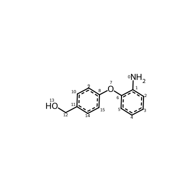 Nc1ccccc1Oc1ccc(CO)cc1